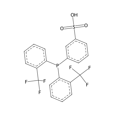 O=S(=O)(O)c1cccc(P(c2ccccc2C(F)(F)F)c2ccccc2C(F)(F)F)c1